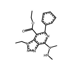 CCOC(=O)c1c(-c2ccccc2)nc(N(C)NC)c2nnn(CC)c12